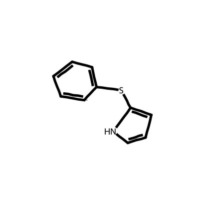 [c]1ccccc1Sc1ccc[nH]1